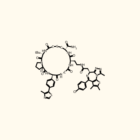 Cc1ncsc1-c1ccc([C@H]2NC(=O)[C@@H]3CCCN3C(=O)[C@H](C(C)(C)C)NC(=O)CSC[C@H](C(N)=O)NC(=O)[C@@H](CCNC(=O)C[C@@H]3N=C(c4ccc(Cl)cc4)c4c(sc(C)c4C)-n4c(C)nnc43)NC(=O)CNC2=O)cc1